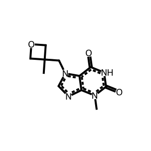 Cn1c(=O)[nH]c(=O)c2c1ncn2CC1(C)COC1